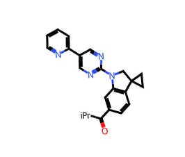 CC(C)C(=O)c1ccc2c(c1)N(c1ncc(-c3ccccn3)cn1)CC21CC1